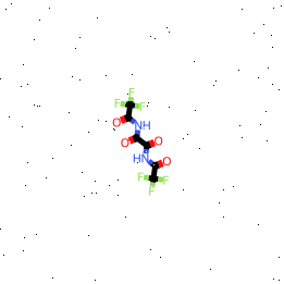 O=C(NC(=O)C(F)(F)F)C(=O)NC(=O)C(F)(F)F